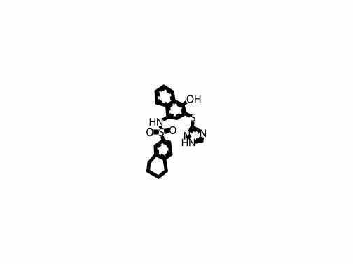 O=S(=O)(Nc1cc(Sc2nc[nH]n2)c(O)c2ccccc12)c1ccc2c(c1)CCCC2